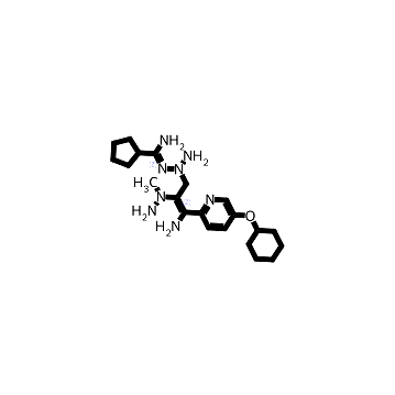 CN(N)/C(CN(N)/N=C(\N)C1CCCC1)=C(\N)c1ccc(OC2CCCCC2)cn1